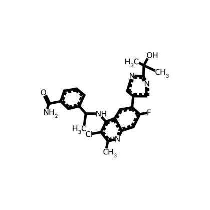 Cc1nc2cc(F)c(-c3cnc(C(C)(C)O)nc3)cc2c(NC(C)c2cccc(C(N)=O)c2)c1Cl